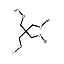 CCCOCC(COCC)(COCC)COCCC